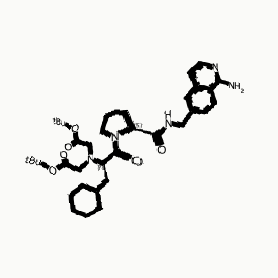 CC(C)(C)OC(=O)CN(CC(=O)OC(C)(C)C)[C@H](CC1CCCCC1)C(=O)N1CCC[C@H]1C(=O)NCc1ccc2c(N)nccc2c1